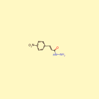 NNC(=O)C=Cc1ccc([N+](=O)[O-])cc1